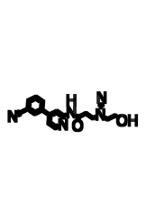 N#Cc1cccc(-c2ccnc(NC(=O)CCN(C#N)CCO)c2)c1